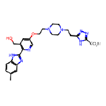 Cc1ccc2[nH]c(-c3ncc(OCCN4CCN(CCc5nnc(C(=O)O)[nH]5)CC4)cc3CO)nc2c1